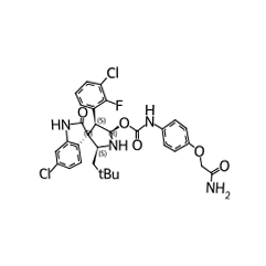 CC(C)(C)C[C@@H]1N[C@H](OC(=O)Nc2ccc(OCC(N)=O)cc2)[C@H](c2cccc(Cl)c2F)[C@]12C(=O)Nc1cc(Cl)ccc12